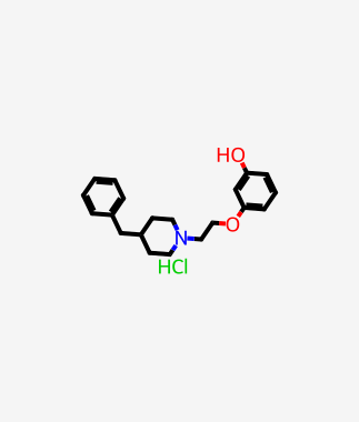 Cl.Oc1cccc(OCCN2CCC(Cc3ccccc3)CC2)c1